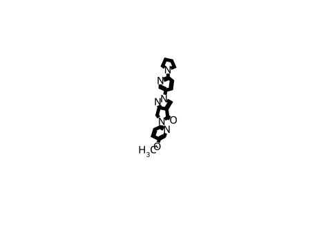 COc1ccc(N2Cc3nn(-c4ccc(N5CCCC5)nc4)cc3C2=O)nc1